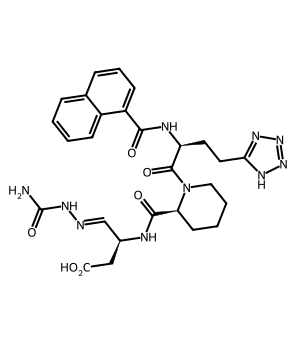 NC(=O)N/N=C/[C@H](CC(=O)O)NC(=O)[C@@H]1CCCCN1C(=O)[C@H](CCc1nnn[nH]1)NC(=O)c1cccc2ccccc12